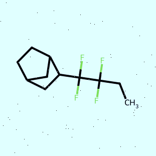 CCC(F)(F)C(F)(F)C1CC2CCC1C2